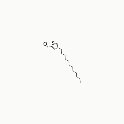 CCCCCCCCCCCCc1csc(C=O)c1